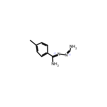 Cc1ccc(/C(N)=N/N=C\N)cc1